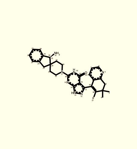 CC1(C)Cc2ncccc2C(c2n[nH]c3nc(N4CCC5(CC4)Cc4ccccc4[C@H]5N)[nH]c(=O)c23)=C1F